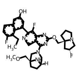 CCc1c(F)ccc2cc(O)cc(-c3ncc4c(N5C[C@@H]6CC[C@](COC)(C5)N6)nc(OC[C@@]56CCCN5C[C@H](F)C6)nc4c3F)c12